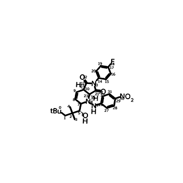 CC(C)(C)CC(C)(C)[C@@H](O)C1C=C[C@H]2C(=O)N(c3ccc(F)cc3)C(=O)[C@H]2N1Nc1ccc([N+](=O)[O-])cc1